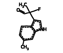 Cc1ccc2c(C(C)(F)C=O)c[nH]c2c1